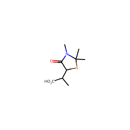 CC(C(=O)O)C1SC(C)(C)N(C)C1=O